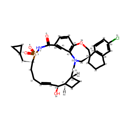 O=C1NS(=O)(=O)[C@@H](CC2CC2)CC/C=C/[C@H](O)[C@@H]2CC[C@H]2CN2C[C@@]3(CCCc4cc(Cl)ccc43)COc3ccc1cc32